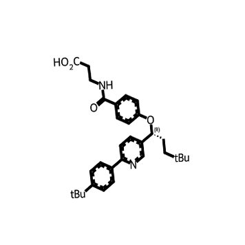 CC(C)(C)CC[C@@H](Oc1ccc(C(=O)NCCC(=O)O)cc1)c1ccc(-c2ccc(C(C)(C)C)cc2)nc1